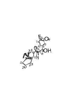 COc1cc(C(O)C(C)(C)NC(=O)c2cnc3c(c2)CCC3)ccc1F